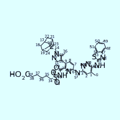 Cc1cc(N(C)c2ccc(-c3cnn(CC45CC6CC(CC(C6)C4)C5)c3C)c(C(=O)NS(=O)(=O)CCCCCC(=O)O)n2)nnc1Nc1nc2ccccc2s1